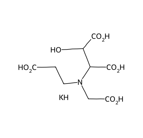 O=C(O)CCN(CC(=O)O)C(C(=O)O)C(O)C(=O)O.[KH]